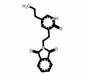 CCCc1c[nH]c(=O)c(CCN2C(=O)c3ccccc3C2=O)c1